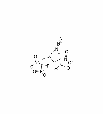 [N-]=[N+]=NCN(CC(F)([N+](=O)[O-])[N+](=O)[O-])CC(F)([N+](=O)[O-])[N+](=O)[O-]